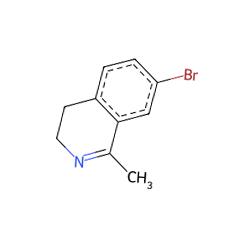 CC1=NCCc2ccc(Br)cc21